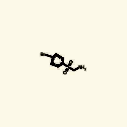 NCS(=O)(=O)c1ccc(Br)cc1